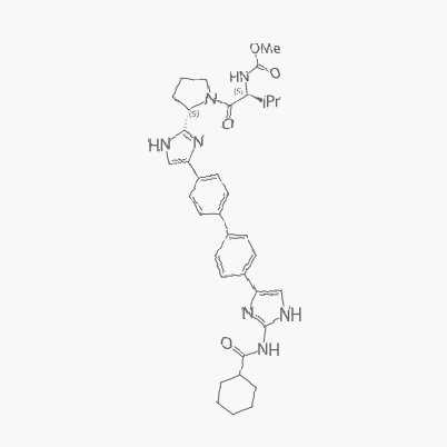 COC(=O)N[C@H](C(=O)N1CCC[C@H]1c1nc(-c2ccc(-c3ccc(-c4c[nH]c(NC(=O)C5CCCCC5)n4)cc3)cc2)c[nH]1)C(C)C